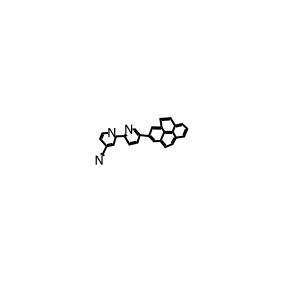 N#Cc1ccnc(-c2ccc(-c3cc4ccc5cccc6ccc(c3)c4c56)cn2)c1